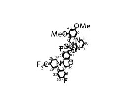 COc1ccc(CN(c2ncccn2)S(=O)(=O)c2cc3c(cc2F)[C@H](N2CCC(C(F)(F)F)C[C@H]2c2ccc(F)cc2)CCO3)c(OC)c1